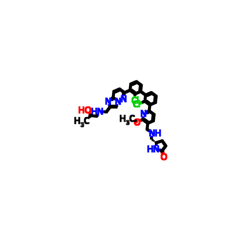 COc1nc(-c2cccc(-c3cccc(-c4ccc5nc(CNCC(C)O)cn5n4)c3Cl)c2Cl)ccc1CNC[C@@H]1CCC(=O)N1